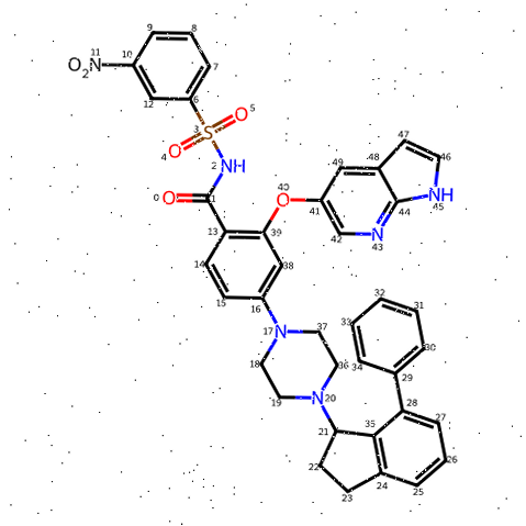 O=C(NS(=O)(=O)c1cccc([N+](=O)[O-])c1)c1ccc(N2CCN(C3CCc4cccc(-c5ccccc5)c43)CC2)cc1Oc1cnc2[nH]ccc2c1